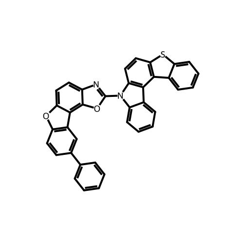 c1ccc(-c2ccc3oc4ccc5nc(-n6c7ccccc7c7c8c(ccc76)sc6ccccc68)oc5c4c3c2)cc1